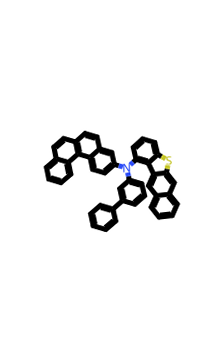 c1ccc(-c2cccc(N(c3ccc4c(ccc5ccc6ccccc6c54)c3)c3cccc4sc5cc6ccccc6cc5c34)c2)cc1